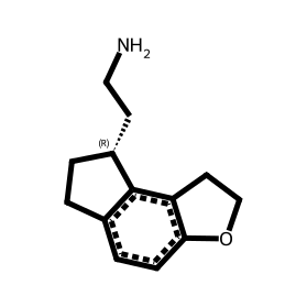 NCC[C@H]1CCc2ccc3c(c21)CCO3